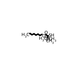 CCCCCCCCOC(=O)[CH](S)[Sn]([CH3])([CH3])[CH3]